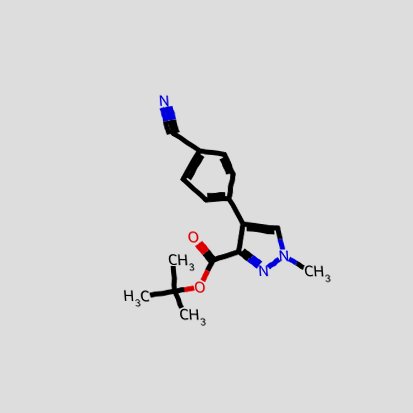 Cn1cc(-c2ccc(C#N)cc2)c(C(=O)OC(C)(C)C)n1